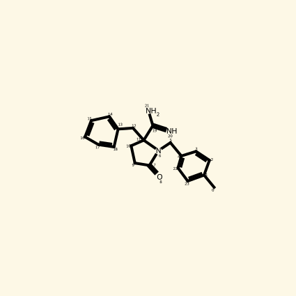 Cc1ccc(CN2C(=O)CCC2(Cc2ccccc2)C(=N)N)cc1